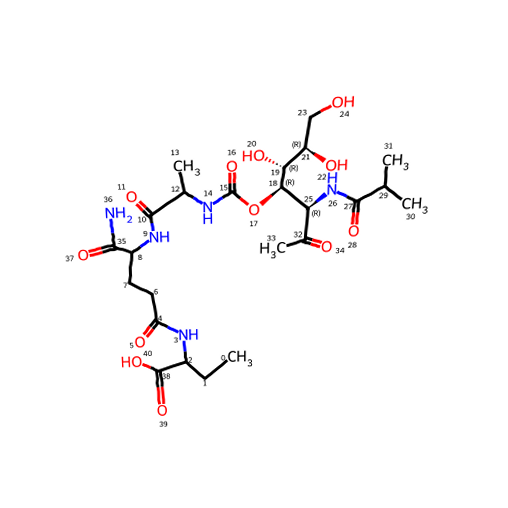 CCC(NC(=O)CCC(NC(=O)C(C)NC(=O)O[C@@H]([C@H](O)[C@H](O)CO)[C@@H](NC(=O)C(C)C)C(C)=O)C(N)=O)C(=O)O